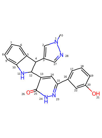 Cn1cc(C2c3ccccc3NC2c2cc(-c3cccc(O)c3)n[nH]c2=O)cn1